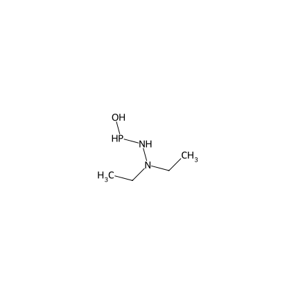 CCN(CC)NPO